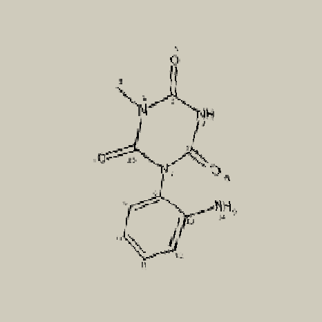 Cn1c(=O)[nH]c(=O)n(-c2ccccc2N)c1=O